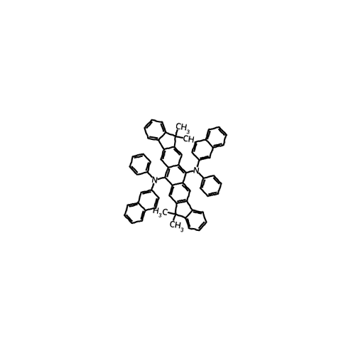 CC1(C)c2ccccc2-c2cc3c(N(c4ccccc4)c4ccc5ccccc5c4)c4cc5c(cc4c(N(c4ccccc4)c4ccc6ccccc6c4)c3cc21)-c1ccccc1C5(C)C